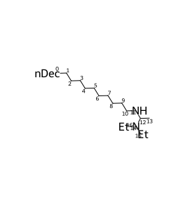 CCCCCCCCCCCCCCCCCCCCNC(C)N(CC)CC